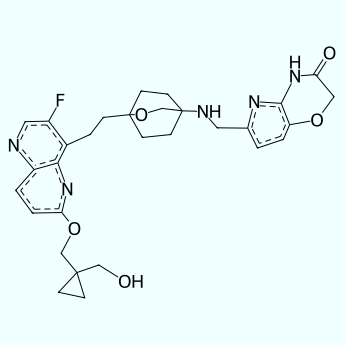 O=C1COc2ccc(CNC34CCC(CCc5c(F)cnc6ccc(OCC7(CO)CC7)nc56)(CC3)OC4)nc2N1